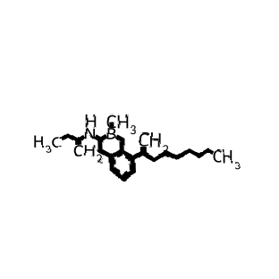 C=C(CC)NC1Cc2cccc(C(=C)CCCCCCC)c2CB1C